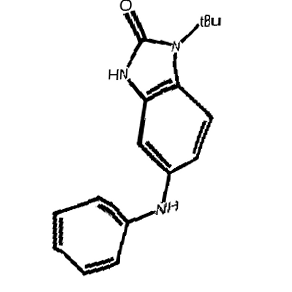 CC(C)(C)n1c(=O)[nH]c2cc(Nc3ccccc3)ccc21